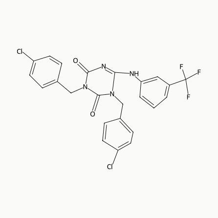 O=c1nc(Nc2cccc(C(F)(F)F)c2)n(Cc2ccc(Cl)cc2)c(=O)n1Cc1ccc(Cl)cc1